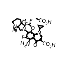 CC(=O)O.Nc1c(F)c(N2C[C@H]3CCCN[C@H]3C2)c(OC(F)F)c2c1c(=O)c(C(=O)O)cn2C1CC1